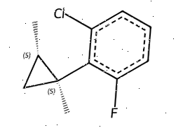 C[C@H]1C[C@]1(C)c1c(F)cccc1Cl